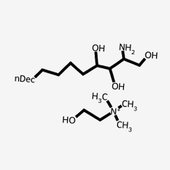 CCCCCCCCCCCCCCC(O)C(O)C(N)CO.C[N+](C)(C)CCO